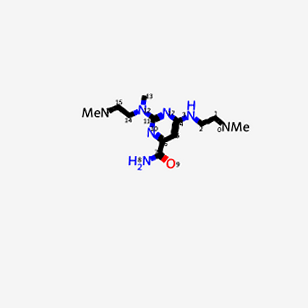 CNCCNc1cc(C(N)=O)nc(N(C)CCNC)n1